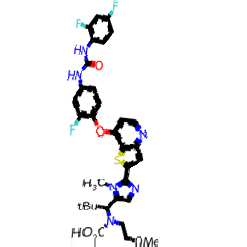 COCCN(C(=O)O)C(c1cnc(-c2cc3nccc(Oc4ccc(NC(=O)Nc5ccc(F)cc5F)cc4F)c3s2)n1C)C(C)(C)C